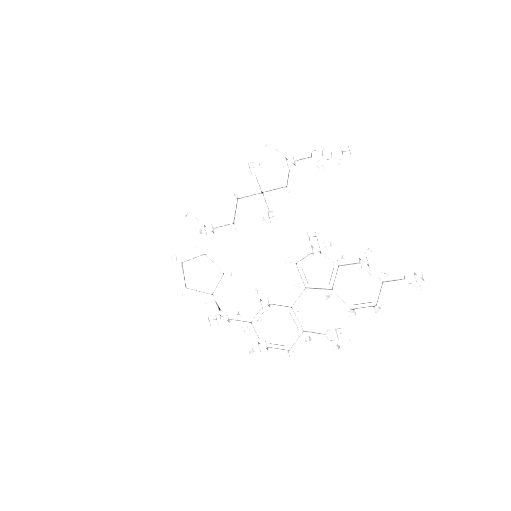 CN(CC(F)(F)CCN(C)[C@H]1CC[C@H](Nc2ncc(C(F)(F)F)c(-c3c[nH]c4nc(C#N)ccc34)n2)C1)C(=O)O